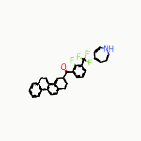 C1=CC=CNC=C1.O=C(c1cccc(C(F)(F)F)c1F)C1C=c2c(ccc3c2=CCc2ccccc2-3)CC1